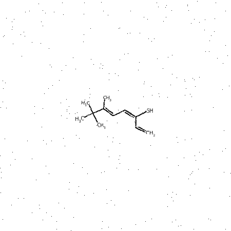 C=C/C(S)=C\C=C(/C)C(C)(C)C